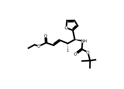 CCOC(=O)C=C[C@@H](C)[C@H](NC(=O)OC(C)(C)C)c1ccco1